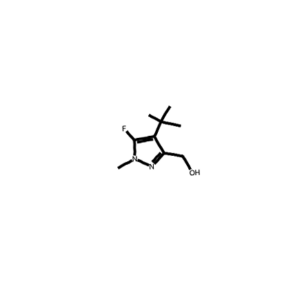 Cn1nc(CO)c(C(C)(C)C)c1F